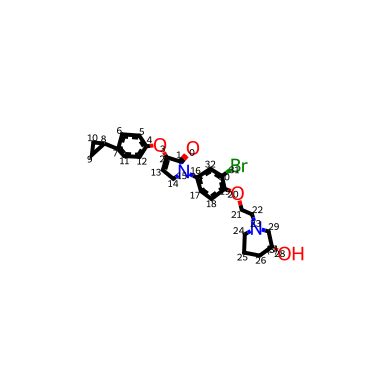 O=C1C(Oc2ccc(C3CC3)cc2)=CCN1c1ccc(OCCN2CCC[C@H](O)C2)c(Br)c1